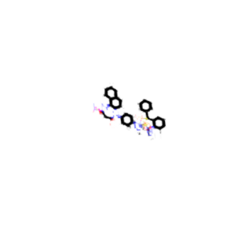 CN(C)c1ccccc1C(c1ccccc1)S(=O)(=O)N(C)c1ccc(N2C(=O)CC(=O)Nc3c2ccc2ccccc32)cc1